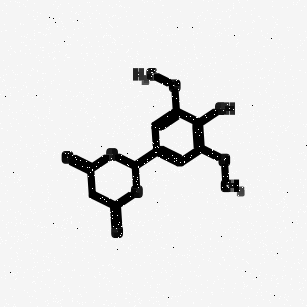 COc1cc(C2OC(=O)CC(=O)O2)cc(OC)c1O